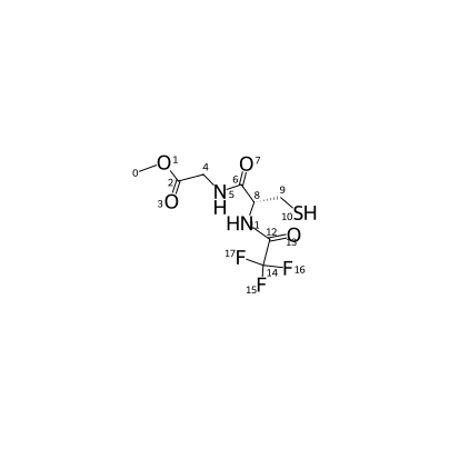 COC(=O)CNC(=O)[C@H](CS)NC(=O)C(F)(F)F